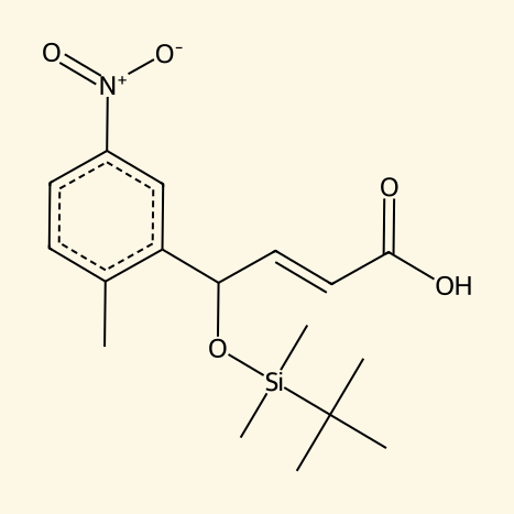 Cc1ccc([N+](=O)[O-])cc1C(/C=C/C(=O)O)O[Si](C)(C)C(C)(C)C